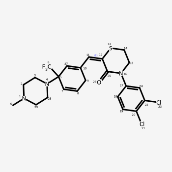 CN1CCN(C2(C(F)(F)F)C=CCC(/C=C3/SCCN(c4ccc(Cl)c(Cl)c4)C3=O)=C2)CC1